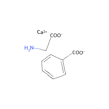 NCC(=O)[O-].O=C([O-])c1ccccc1.[Ca+2]